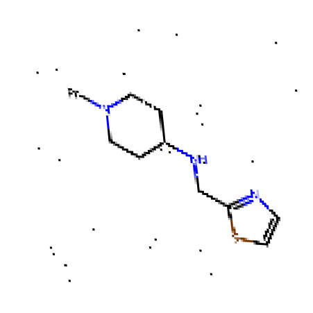 CC(C)N1CCC(NCc2nccs2)CC1